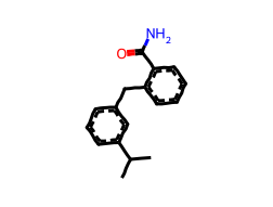 CC(C)c1cccc(Cc2ccccc2C(N)=O)c1